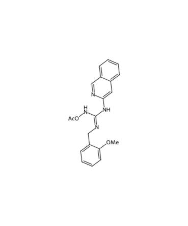 COc1ccccc1CN=C(NOC(C)=O)Nc1cc2ccccc2cn1